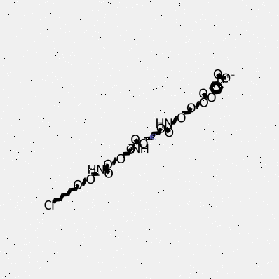 O=C(NCCOCCOCCOC(=O)Oc1ccc([N+](=O)[O-])cc1)OC/C=C/COC(=O)NOCCOCCOC(=O)NCCOCCOCCCCCCCl